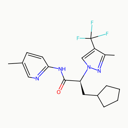 Cc1ccc(NC(=O)[C@H](CC2CCCC2)n2cc(C(F)(F)F)c(C)n2)nc1